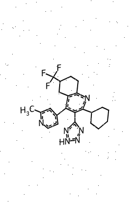 Cc1cc(-c2c3c(nc(C4CCCCC4)c2-c2nn[nH]n2)CCC(C(F)(F)F)C3)ccn1